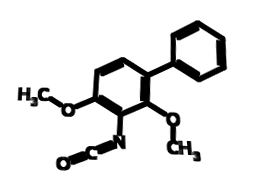 COc1ccc(-c2ccccc2)c(OC)c1N=C=O